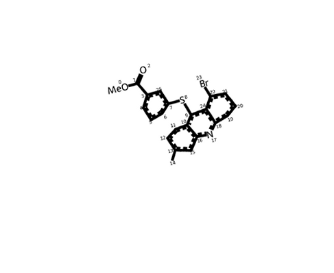 COC(=O)c1cccc(Sc2c3ccc(C)cc3nc3cccc(Br)c23)c1